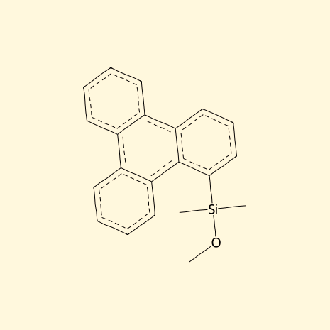 CO[Si](C)(C)c1cccc2c3ccccc3c3ccccc3c12